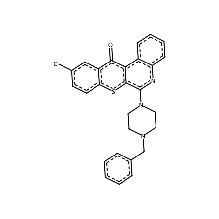 O=c1c2cc(Cl)ccc2sc2c(N3CCN(Cc4ccccc4)CC3)nc3ccccc3c12